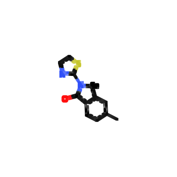 Cc1ccc2c(=O)n(-c3nccs3)[se]c2c1